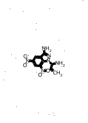 C=CC(N)n1nc(N)c2cc([N+](=O)[O-])cc([N+](=O)[O-])c21